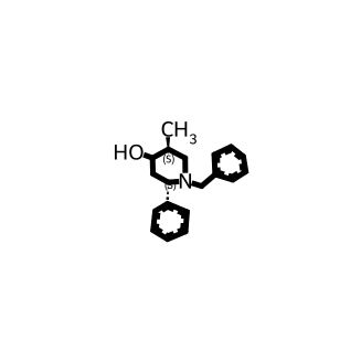 C[C@H]1CN(Cc2ccccc2)[C@H](c2ccccc2)CC1O